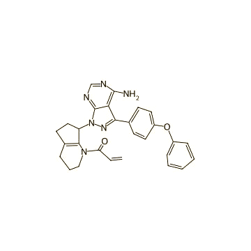 C=CC(=O)N1CCCC2=C1C(n1nc(-c3ccc(Oc4ccccc4)cc3)c3c(N)ncnc31)CC2